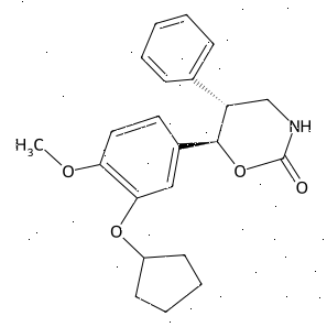 COc1ccc([C@@H]2OC(=O)NC[C@H]2c2ccccc2)cc1OC1CCCC1